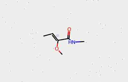 C/C=C(\OC)C(=O)NC